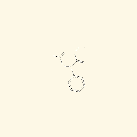 COC(=O)N(N[N+](=O)[O-])c1ccccc1